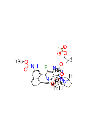 CC(C)[Si](C#Cc1cccc2cc(NC(=O)OC(C)(C)C)cc(-c3nc4c5c(nc(OCC6(COS(C)(=O)=O)CC6)nc5c3F)N3C[C@H]5CC[C@@H]([C@H]3[C@H](C)O4)N5C(=O)OC(C)(C)C)c12)(C(C)C)C(C)C